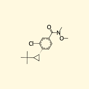 CON(C)C(=O)c1ccc([C@@H]2CC2C(C)(C)C)c(Cl)c1